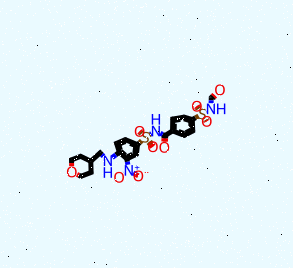 O=CNS(=O)(=O)c1ccc(C(=O)NS(=O)(=O)c2ccc(NCC3CCOCC3)c([N+](=O)[O-])c2)cc1